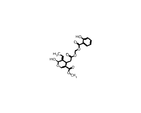 C/C=C1\C(O)OC=C(C(=O)OC)C1CC(=O)OCOC(=O)c1ccccc1O